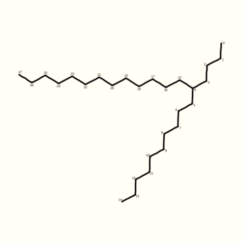 [CH2]CCCC(CCCCCCCCCC)CCCCCCCCCCCCC